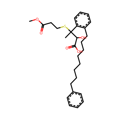 COC(=O)CCSC(C)(c1ccccc1CCCCCCCCc1ccccc1)C(O)C(=O)O